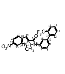 Cn1c(C(=O)Nc2cccc(-c3ccccc3C(F)(F)F)c2)cc2ccc([N+](=O)[O-])cc21